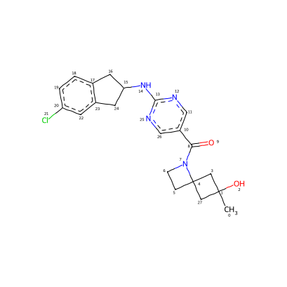 CC1(O)CC2(CCN2C(=O)c2cnc(NC3Cc4ccc(Cl)cc4C3)nc2)C1